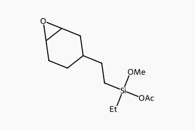 CC[Si](CCC1CCC2OC2C1)(OC)OC(C)=O